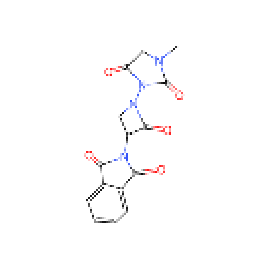 CN1CC(=O)N(N2CC(N3C(=O)c4ccccc4C3=O)C2=O)C1=O